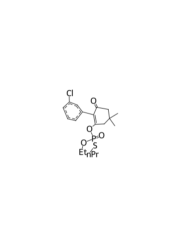 CCCSP(=O)(OCC)OC1=C(c2cccc(Cl)c2)C(=O)CC(C)(C)C1